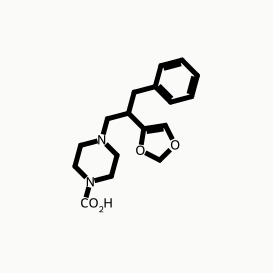 O=C(O)N1CCN(CC(Cc2ccccc2)C2=COCO2)CC1